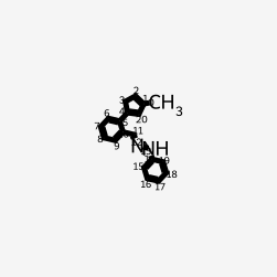 CC1=CCC(c2ccccc2/C=N/Nc2ccccc2)=C1